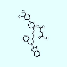 Clc1ccc(N2CCN(CCCCCN(Cc3ccccc3)c3nc4ccccc4s3)CC2)cc1Cl.O=C(O)C=CC(=O)O